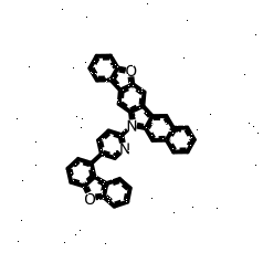 c1ccc2cc3c(cc2c1)c1cc2oc4ccccc4c2cc1n3-c1ccc(-c2cccc3oc4ccccc4c23)cn1